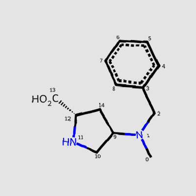 CN(Cc1ccccc1)C1CN[C@H](C(=O)O)C1